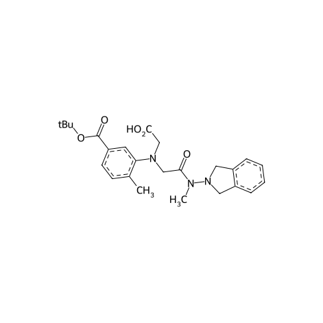 Cc1ccc(C(=O)OC(C)(C)C)cc1N(CC(=O)O)CC(=O)N(C)N1Cc2ccccc2C1